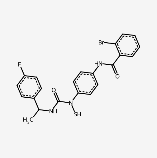 CC(NC(=O)N(S)c1ccc(NC(=O)c2ccccc2Br)cc1)c1ccc(F)cc1